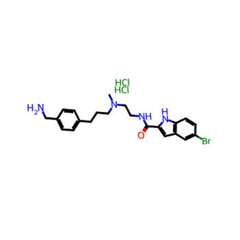 CN(CCCc1ccc(CN)cc1)CCNC(=O)c1cc2cc(Br)ccc2[nH]1.Cl.Cl